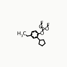 CCc1ccc(OP(OF)OF)c(C2CCCC2)c1